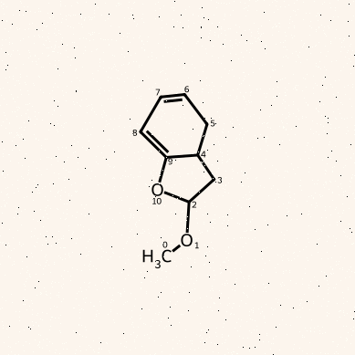 COC1CC2CC=CC=C2O1